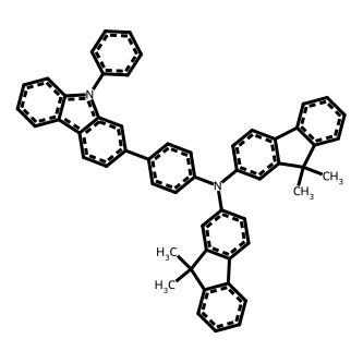 CC1(C)c2ccccc2-c2ccc(N(c3ccc(-c4ccc5c6ccccc6n(-c6ccccc6)c5c4)cc3)c3ccc4c(c3)C(C)(C)c3ccccc3-4)cc21